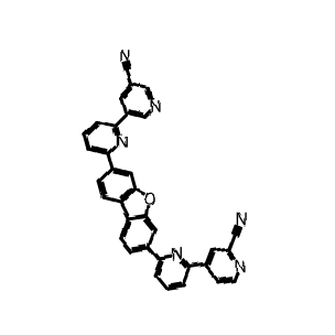 N#Cc1cncc(-c2cccc(-c3ccc4c(c3)oc3cc(-c5cccc(-c6ccnc(C#N)c6)n5)ccc34)n2)c1